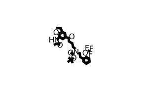 CC(=O)Nc1cc(C(=O)CCCCN(CCc2ccccc2OC(F)(F)F)C(=O)OC(C)(C)C)cc2c1OCC2